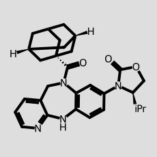 CC(C)[C@@H]1COC(=O)N1c1ccc2c(c1)N(C(=O)[C@]13CC4C[C@H](C[C@H](C4)C1)C3)Cc1cccnc1N2